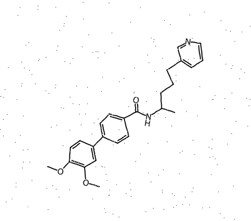 COc1ccc(-c2ccc(C(=O)NC(C)CCCc3cccnc3)cc2)cc1OC